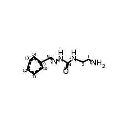 NCCNC(=O)N/N=C/c1ccccc1